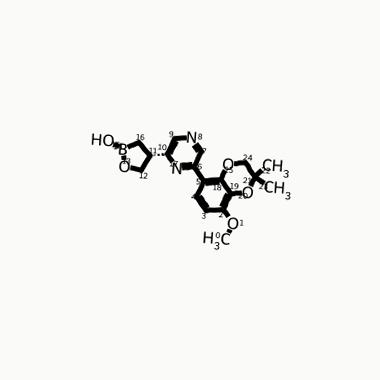 COc1ccc(-c2cncc([C@@H]3COB(O)C3)n2)c2c1OC(C)(C)CO2